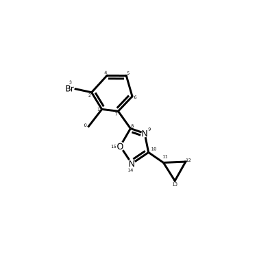 Cc1c(Br)cccc1-c1nc(C2CC2)no1